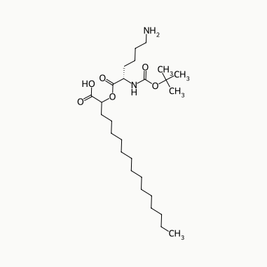 CCCCCCCCCCCCCCC(OC(=O)[C@H](CCCCN)NC(=O)OC(C)(C)C)C(=O)O